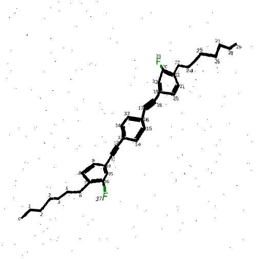 CCCCCCCc1ccc(C#Cc2ccc(C#Cc3ccc(CCCCCCC)c(F)c3)cc2)cc1F